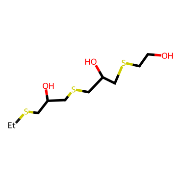 CCSCC(O)CSCC(O)CSCCO